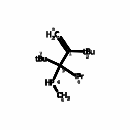 C=C(C(C)(C)C)C(PC)(C(C)C)C(C)(C)C